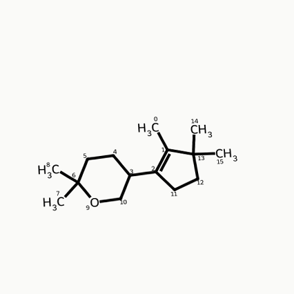 CC1=C(C2CCC(C)(C)OC2)CCC1(C)C